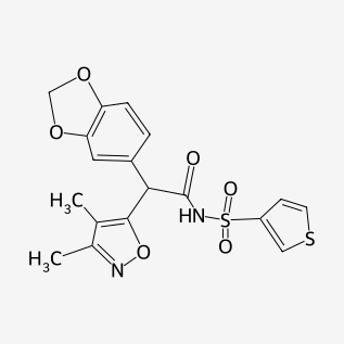 Cc1noc(C(C(=O)NS(=O)(=O)c2ccsc2)c2ccc3c(c2)OCO3)c1C